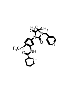 CC1(C)C(=O)N(c2ccc(OC(F)(F)F)c(NC(=O)[C@@H]3CCCCN3)c2)C(=O)N1Cc1ccncc1